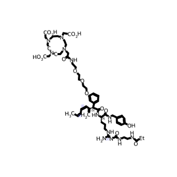 C=C(/C=C\C=C/C)[C@H](C(=O)N[C@H](CCCN/C(N)=N\C(=O)NCCNC(=O)CC)C(=O)NCc1ccc(O)cc1)c1cccc(OCCOCCOCCNC(=O)CN2CCN(CC(=O)O)CCN(CC(=O)O)CCN(CC(=O)O)CC2)c1